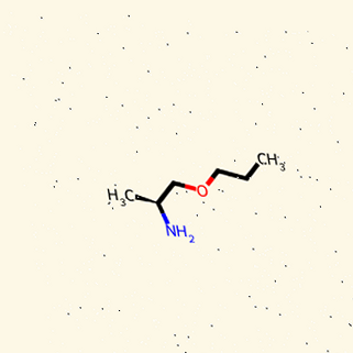 CCCOC[C@H](C)N